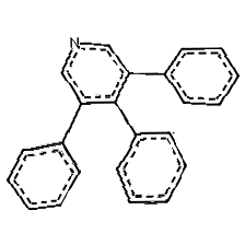 [c]1ccccc1-c1c(-c2ccccc2)cncc1-c1ccccc1